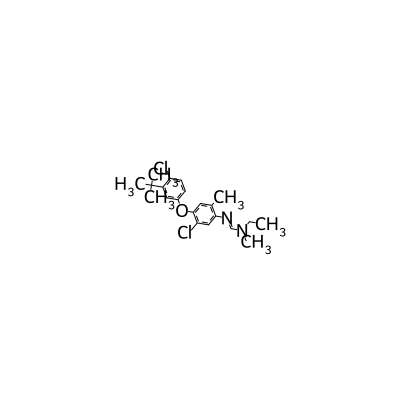 CCN(C)C=Nc1cc(Cl)c(Oc2ccc(Cl)c(C(C)(C)C)c2)cc1C